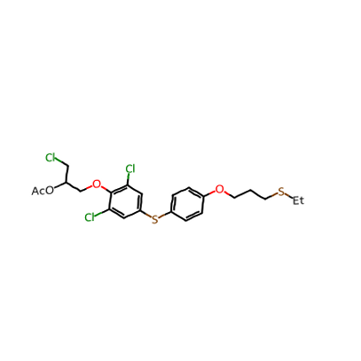 CCSCCCOc1ccc(Sc2cc(Cl)c(OCC(CCl)OC(C)=O)c(Cl)c2)cc1